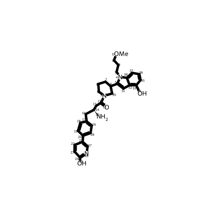 COCCCn1c(C2CCCN(C(=O)C[C@H](N)Cc3ccc(-c4ccc(O)nc4)cc3)C2)cc2c(O)cccc21